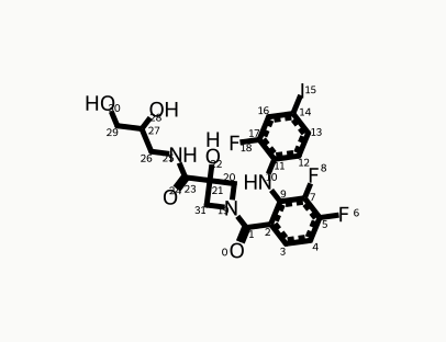 O=C(c1ccc(F)c(F)c1Nc1ccc(I)cc1F)N1CC(O)(C(=O)NCC(O)CO)C1